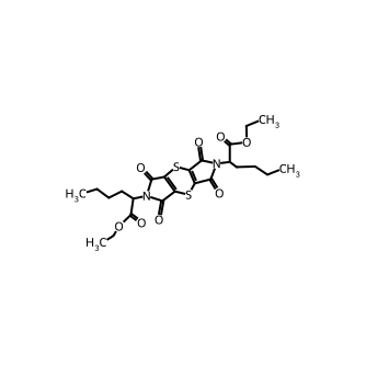 CCCCC(C(=O)OCC)n1c(=O)c2sc3c(=O)n(C(CCCC)C(=O)OCC)c(=O)c3sc2c1=O